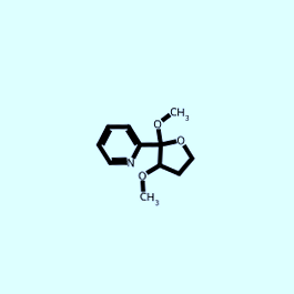 COC1CCOC1(OC)c1ccccn1